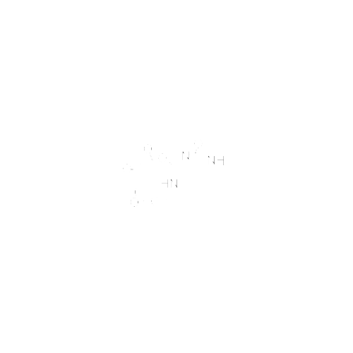 COC1(C)CC(C)CNCC2(CCN(C(=O)CNC(C)C)C2)OC(=O)C(C)C(=O)C(C)C1